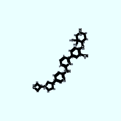 N#Cc1cc(-c2ccnc(Nc3ccc(C4CCN(C5COC5)C4)cn3)n2)ccc1OC1CCNCC1(F)F